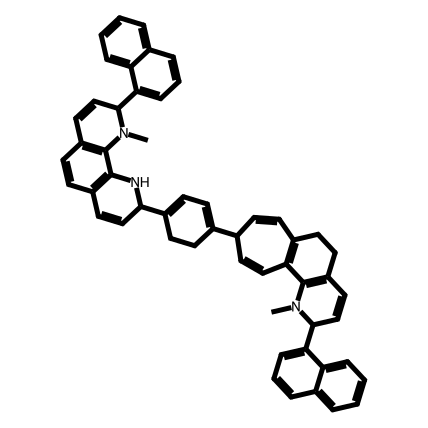 CN1C2=C(C=CC1c1cccc3ccccc13)CCC1=C2C=CC(C2=CC=C(C3C=Cc4ccc5c(c4N3)N(C)C(c3cccc4ccccc34)C=C5)CC2)C=C1